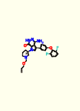 C=CCOCN1CCC[C@@H](n2cc(-c3ccc(Oc4c(F)cccc4F)cc3)c3c(N)n[nH]c(=O)c32)C1